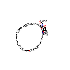 COC(=O)CN1CC2(CCCCCCCCCCCCCCCCCCCCCCCCCCCCCCCCCCCCCCCCCCCCCCCCC(c3ccccc3)(N(C)C)CC2)CC1=O